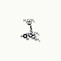 Cc1nc(N)nc2c1/C(=N/OCCC[C@@H]1COC(C)(C)O1)N[C@@H](c1ccc(F)cc1Br)C2